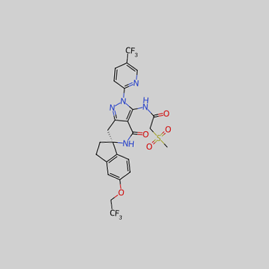 CS(=O)(=O)CC(=O)Nc1c2c(nn1-c1ccc(C(F)(F)F)cn1)C[C@]1(CCc3cc(OCC(F)(F)F)ccc31)NC2=O